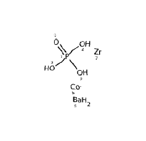 O=P(O)(O)O.[BaH2].[Co].[Zr]